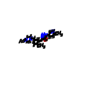 CC(=O)N1CCN(Cc2ccc(C)c(CNC(=O)Nc3ccc(C)nc3)c2)CC1